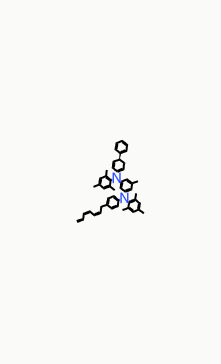 C=C/C=C\C=C/Cc1ccc(N(c2cc(C)cc(N(C3=CC[C@H](c4ccccc4)C=C3)c3c(C)cc(C)cc3C)c2)c2c(C)cc(C)cc2C)cc1